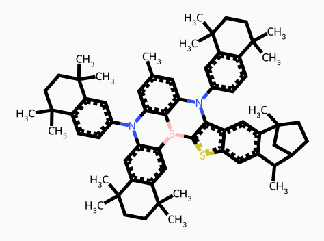 Cc1cc2c3c(c1)N(c1ccc4c(c1)C(C)(C)CCC4(C)C)c1c(sc4cc5c(cc14)C1(C)CCC(C1)C5C)B3c1cc3c(cc1N2c1ccc2c(c1)C(C)(C)CCC2(C)C)C(C)(C)CCC3(C)C